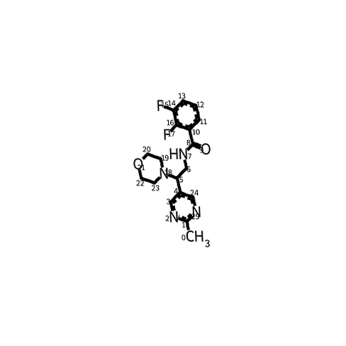 Cc1ncc(C(CNC(=O)c2cccc(F)c2F)N2CCOCC2)cn1